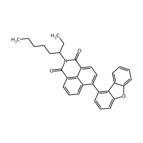 CCCCCC(CC)N1C(=O)c2cccc3c(-c4cccc5oc6ccccc6c45)ccc(c23)C1=O